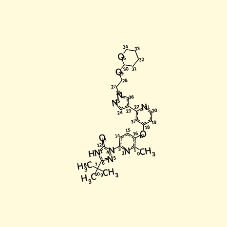 Cc1nc(-n2nc(C(C)(C)C)[nH]c2=O)ccc1Oc1ccnc(-c2cnn(CCOC3CCCCO3)c2)c1